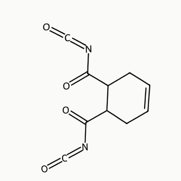 O=C=NC(=O)C1CC=CCC1C(=O)N=C=O